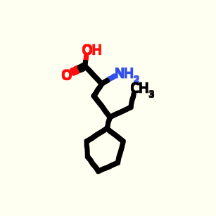 CCC(CC(N)C(=O)O)C1CCCCC1